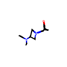 CC(=O)N1CC(N(C)C)C1